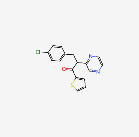 O=C(c1cccs1)C(Cc1ccc(Cl)cc1)c1cnccn1